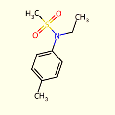 CCN(c1ccc(C)cc1)S(C)(=O)=O